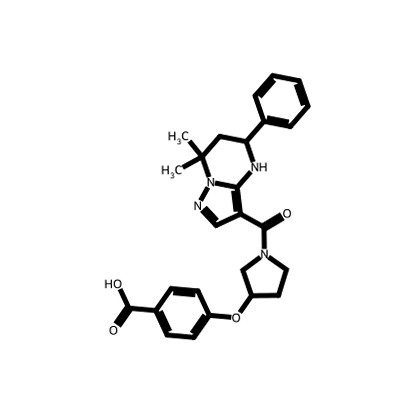 CC1(C)CC(c2ccccc2)Nc2c(C(=O)N3CCC(Oc4ccc(C(=O)O)cc4)C3)cnn21